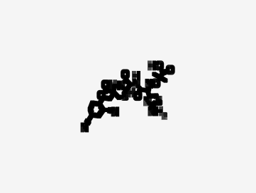 CC(C)(ON=C(C(=O)NC1C(=O)N2CC(C=Cc3ccc(C#N)cc3C#N)(C(=O)O)CS[C@H]12)c1csc(N)n1)C(=O)O